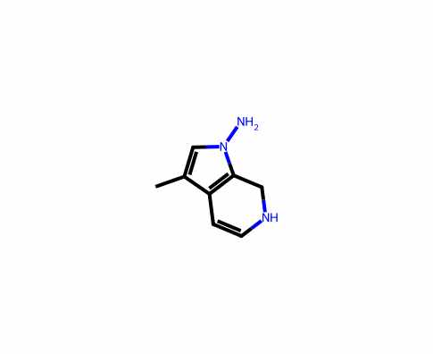 Cc1cn(N)c2c1C=CNC2